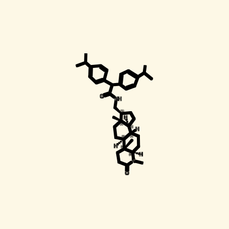 CC(C)c1ccc(C(C(=O)NC[C@H]2CC[C@H]3[C@@H]4CC[C@H]5N(C)C(=O)CC[C@]5(C)[C@H]4CC[C@]23C)c2ccc(C(C)C)cc2)cc1